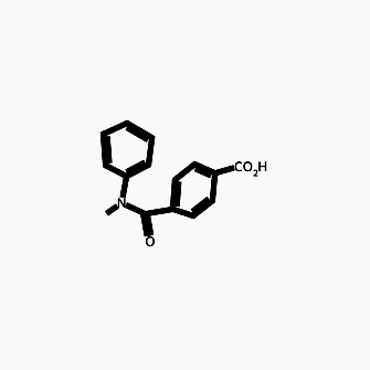 CN(C(=O)c1ccc(C(=O)O)cc1)c1ccccc1